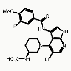 COc1ccc(C(=O)Nc2c[nH]c3ncc(Br)c(N4CCCC(NC(=O)O)C4)c23)cc1F